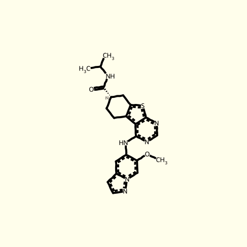 COc1cn2nccc2cc1Nc1ncnc2sc3c(c12)CC[C@H](C(=O)NC(C)C)C3